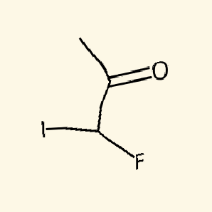 CC(=O)C(F)I